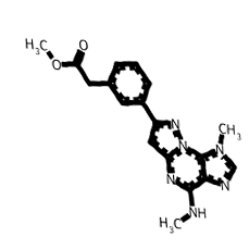 CNc1nc2cc(-c3cccc(CC(=O)OC)c3)nn2c2c1ncn2C